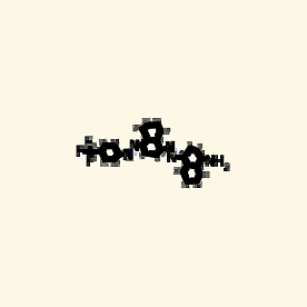 Nc1ccc(/N=N/c2ccc(/N=N/c3ccc(C(F)(F)F)cc3)c3ccccc23)c2ccccc12